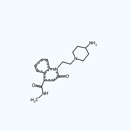 CNC(=O)c1cc(=O)n(CCN2CCC(N)CC2)c2ccccc12